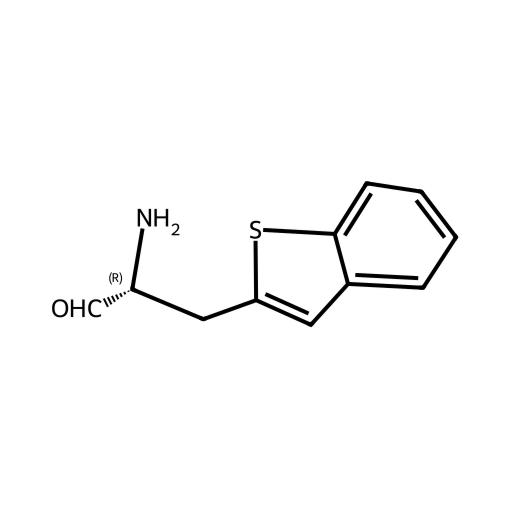 N[C@@H](C=O)Cc1cc2ccccc2s1